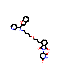 O=C1CCC(N2C(=O)c3cccc(CCCOCCCCNC(c4cccnc4)c4cc5ccccc5o4)c3C2=O)C(=O)N1